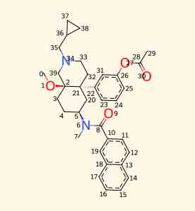 CO[C@]12CC[C@H](N(C)C(=O)c3ccc4ccccc4c3)C[C@]1(c1cccc(OC(C)=O)c1)CCN(CC1CC1)C2